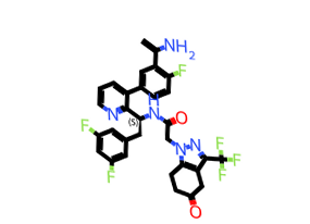 C=C(N)c1cc(-c2cccnc2[C@H](Cc2cc(F)cc(F)c2)NC(=O)Cn2nc(C(F)(F)F)c3c2CCC(=O)C3)ccc1F